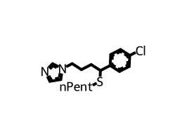 CCCCCSC(CCCn1ccnc1)c1ccc(Cl)cc1